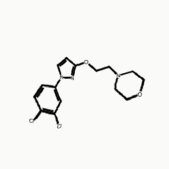 Clc1ccc(-n2ccc(OCCN3CCOCC3)n2)cc1Cl